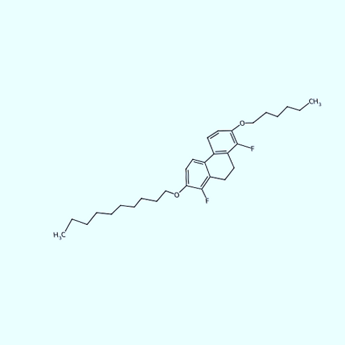 CCCCCCCCCCOc1ccc2c(c1F)CCc1c-2ccc(OCCCCCC)c1F